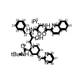 CC(C)[C@H](NC(=O)c1ccc2ccccc2n1)C(=O)N[C@@H](Cc1ccccc1)[C@H](O)CN1CC[C@@H](Sc2ncccn2)C[C@H]1C(=O)NC(C)(C)C